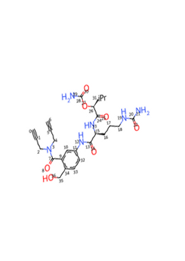 C#CCN(CC#C)C(=O)c1cc(NC(=O)[C@H](CCCNC(N)=O)NC(=O)[C@@H](OC(N)=O)C(C)C)ccc1CO